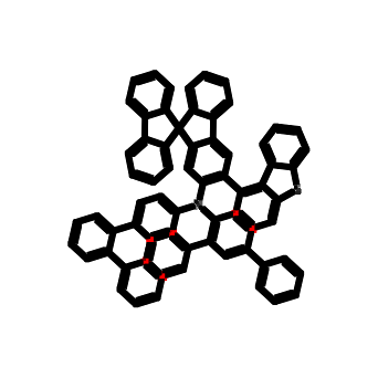 c1ccc(-c2ccc(N(c3ccc4c5ccccc5c5ccccc5c4c3)c3cc4c(cc3-c3cccc5sc6ccccc6c35)-c3ccccc3C43c4ccccc4-c4ccccc43)c(-c3ccccc3)c2)cc1